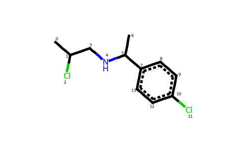 CC(Cl)CNC(C)c1ccc(Cl)cc1